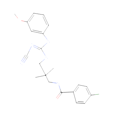 COc1cccc(NC(=NC#N)NCC(C)(C)CNC(=O)c2ccc(Cl)cc2)c1